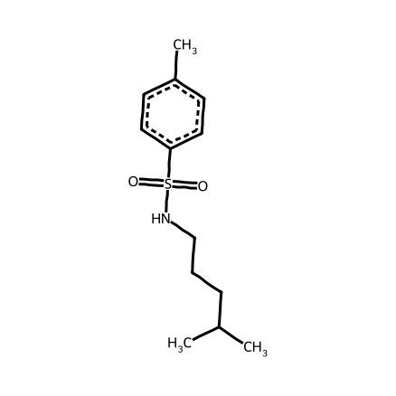 Cc1ccc(S(=O)(=O)NCCCC(C)C)cc1